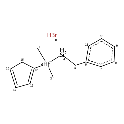 Br.[CH3][Hf]([CH3])([SiH2]Cc1ccccc1)[C]1=CC=CC1